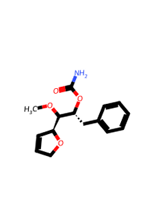 COC([C@@H]1C=CCO1)[C@@H](Cc1ccccc1)OC(N)=O